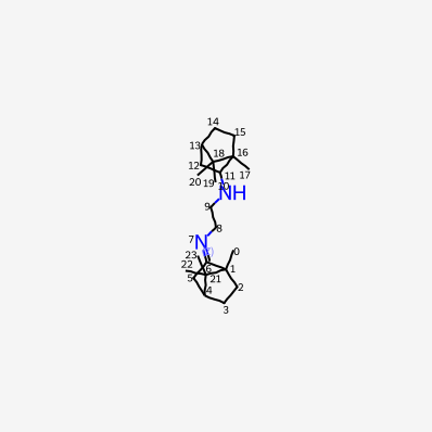 CC12CCC(C/C1=N/CCNC1CC3CCC1(C)C3(C)C)C2(C)C